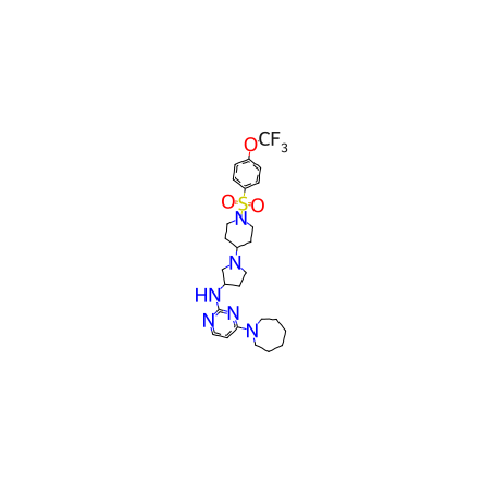 O=S(=O)(c1ccc(OC(F)(F)F)cc1)N1CCC(N2CCC(Nc3nccc(N4CCCCCC4)n3)C2)CC1